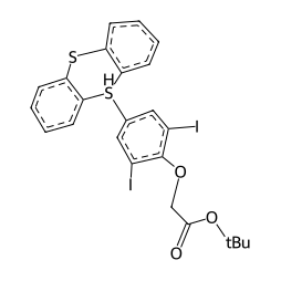 CC(C)(C)OC(=O)COc1c(I)cc([SH]2c3ccccc3Sc3ccccc32)cc1I